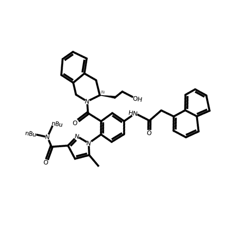 CCCCN(CCCC)C(=O)c1cc(C)n(-c2ccc(NC(=O)Cc3cccc4ccccc34)cc2C(=O)N2Cc3ccccc3C[C@H]2CCO)n1